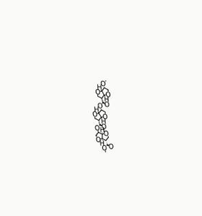 COC(=O)[C@H]1CO[C@H]2[C@@H]1OC[C@H]2OC(=O)[C@H]1CO[C@H]2[C@@H]1OC[C@H]2OC(=O)[C@H]1CO[C@H]2[C@@H]1OC[C@H]2OC